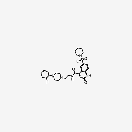 O=C(NCCN1CCN(c2ccccc2F)CC1)c1cc(=O)[nH]c2ccc(S(=O)(=O)N3CCCCC3)cc12